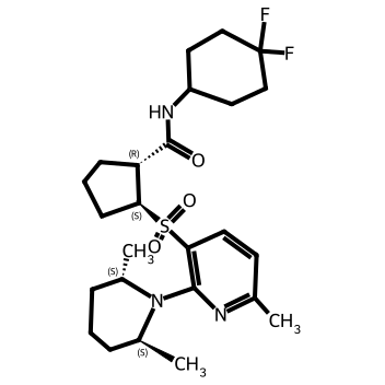 Cc1ccc(S(=O)(=O)[C@H]2CCC[C@@H]2C(=O)NC2CCC(F)(F)CC2)c(N2[C@@H](C)CCC[C@@H]2C)n1